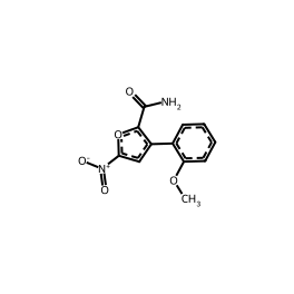 COc1ccccc1-c1cc([N+](=O)[O-])oc1C(N)=O